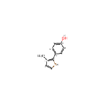 Cc1ccsc1-c1ccc(O)cc1